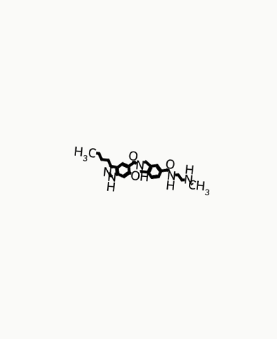 CCCCc1n[nH]c2cc(O)c(C(=O)N3Cc4ccc(C(=O)NCCNC)cc4C3)cc12